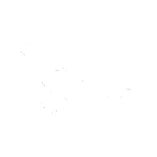 CN(CCOc1ccccc1)c1nc(-c2cccnc2)nc2c1cnn2C